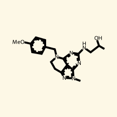 COc1ccc(CN2CCc3nn(C)c4nc(NCC(C)O)nc2c34)cc1